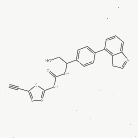 C#Cc1nnc(NC(=O)NC(CO)c2ccc(-c3cccc4ncsc34)cc2)s1